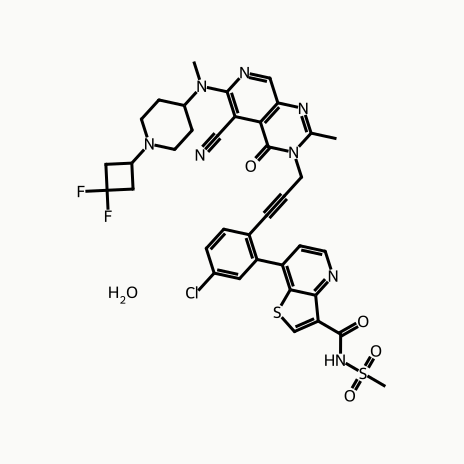 Cc1nc2cnc(N(C)C3CCN(C4CC(F)(F)C4)CC3)c(C#N)c2c(=O)n1CC#Cc1ccc(Cl)cc1-c1ccnc2c(C(=O)NS(C)(=O)=O)csc12.O